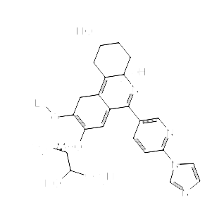 CCOC1=C(OC)C=C2C(c3ccc(-n4ccnc4)nc3)=N[C@@H]3CC[C@@H](O)CC3=C2C1.O=C(O)CC(O)C(=O)O